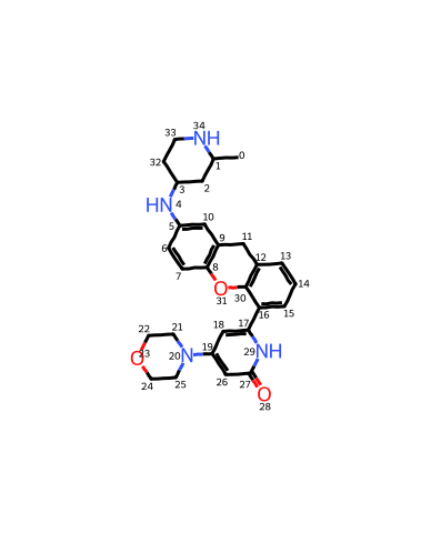 CC1CC(Nc2ccc3c(c2)Cc2cccc(-c4cc(N5CCOCC5)cc(=O)[nH]4)c2O3)CCN1